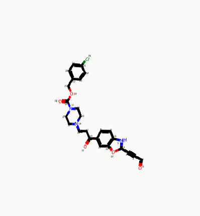 O=CC#CC1Nc2ccc(C(=O)CCN3CCN(C(=O)OCc4ccc(Cl)cc4)CC3)cc2O1